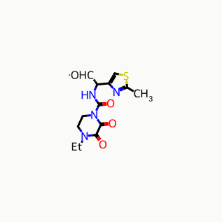 CCN1CCN(C(=O)NC([C]=O)c2csc(C)n2)C(=O)C1=O